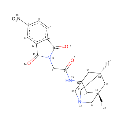 O=C(CN1C(=O)c2ccc([N+](=O)[O-])cc2C1=O)NC12C[C@@H]3C[C@@H](CN(C3)C1)C2